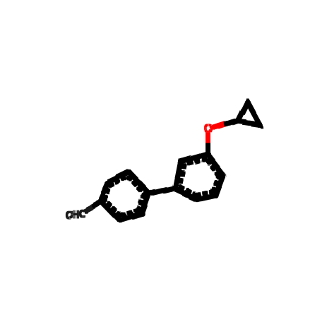 O=Cc1ccc(-c2cccc(OC3CC3)c2)cc1